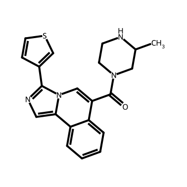 CC1CN(C(=O)c2cn3c(-c4ccsc4)ncc3c3ccccc23)CCN1